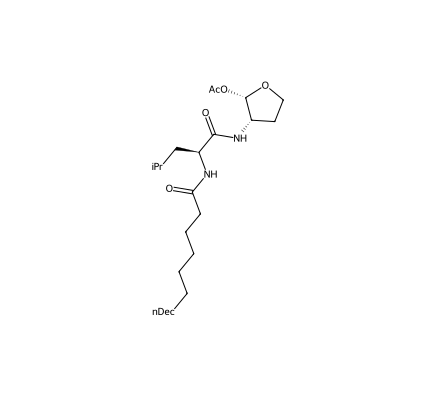 CCCCCCCCCCCCCCCC(=O)N[C@@H](CC(C)C)C(=O)N[C@H]1CCO[C@H]1OC(C)=O